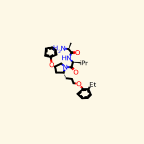 CCc1ccccc1OCCC[C@@H]1C[C@H](Oc2ccccc2)CN1C(=O)[C@@H](NC(=O)[C@H](C)N)C(C)C